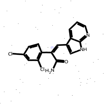 NC(=O)/C(=C\c1c[nH]c2ncccc12)c1ccc(Cl)cc1Cl